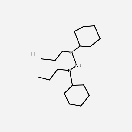 CCC[N]([Nd][N](CCC)C1CCCCC1)C1CCCCC1.I